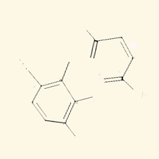 Cc1ccc(N)c(C)c1C.O=C(O)/C=C\C(=O)O